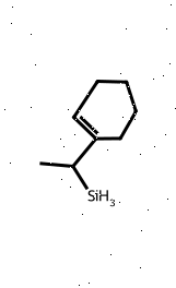 CC([SiH3])C1=CCCCC1